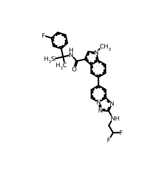 Cn1cc(C(=O)NC(C)([SiH3])c2cccc(F)c2)c2cc(-c3ccn4nc(NCC(F)F)nc4c3)ccc21